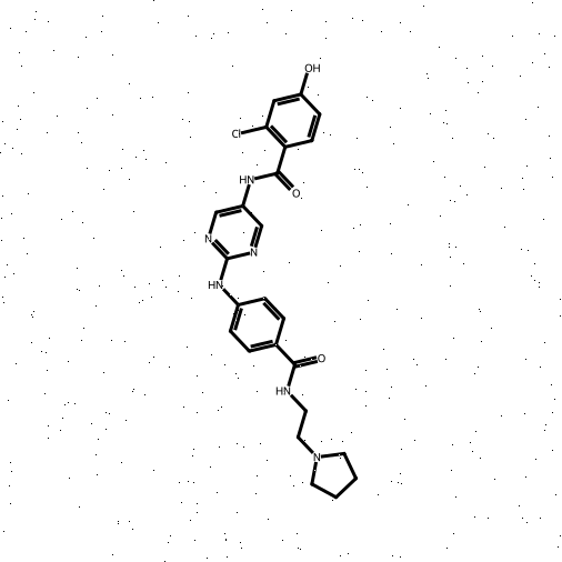 O=C(NCCN1CCCC1)c1ccc(Nc2ncc(NC(=O)c3ccc(O)cc3Cl)cn2)cc1